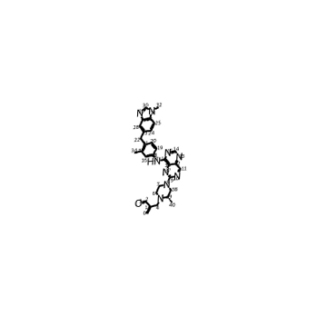 C=C(C=O)CN1CCN(c2ncc3ncnc(Nc4ccc(Cc5ccc6c(c5)ncn6C)c(C)c4)c3n2)C[C@H]1C